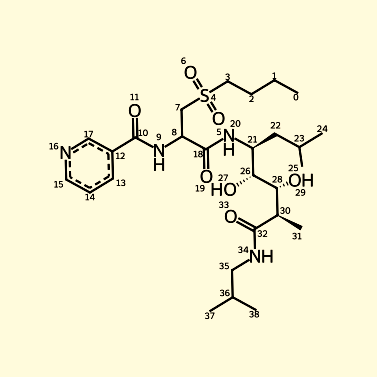 CCCCS(=O)(=O)CC(NC(=O)c1cccnc1)C(=O)N[C@@H](CC(C)C)[C@@H](O)[C@H](O)[C@@H](C)C(=O)NCC(C)C